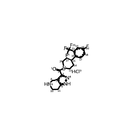 Cl.O=C(c1n[nH]c2c1CNCC2)N1CCC(c2ccc(F)cc2C(F)(F)F)CC1